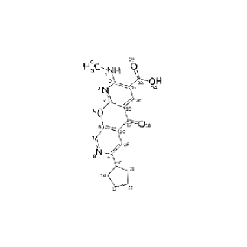 CNc1nc2oc3cnc(C4CCCC4)cc3c(=O)c2cc1C(=O)O